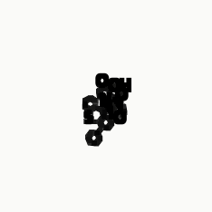 O=C1c2c(O)c(=O)ccn2N([C@H]2c3ccccc3SCc3c(-c4ccccc4)cccc32)[C@H]2COCCN12